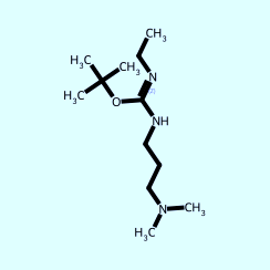 CC/N=C(/NCCCN(C)C)OC(C)(C)C